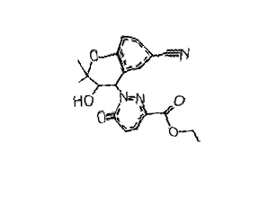 CCOC(=O)c1ccc(=O)n(C2c3cc(C#N)ccc3OC(C)(C)C2O)n1